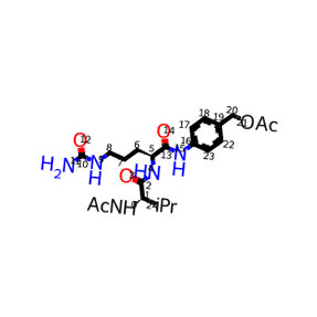 CC(=O)N[C@H](C(=O)N[C@@H](CCCNC(N)=O)C(=O)Nc1ccc(COC(C)=O)cc1)C(C)C